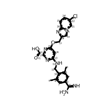 Cc1cc(C(=N)N)cc(C)c1CNc1cc(OCc2cn3cc(Cl)ccc3n2)ncn1.O=CO